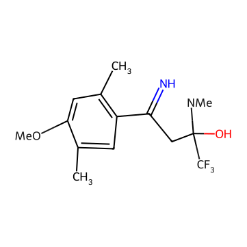 CNC(O)(CC(=N)c1cc(C)c(OC)cc1C)C(F)(F)F